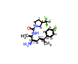 C=C(NC(=O)N1CCC(C(F)(F)F)C1)/C(N)=C\C=C(/C)c1ccc(F)cc1